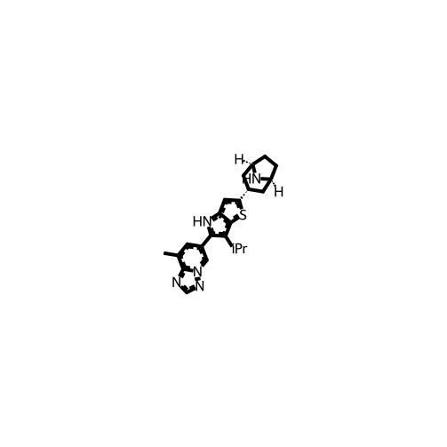 Cc1cc(-c2[nH]c3cc([C@@H]4C[C@H]5CC[C@@H](C4)N5)sc3c2C(C)C)cn2ncnc12